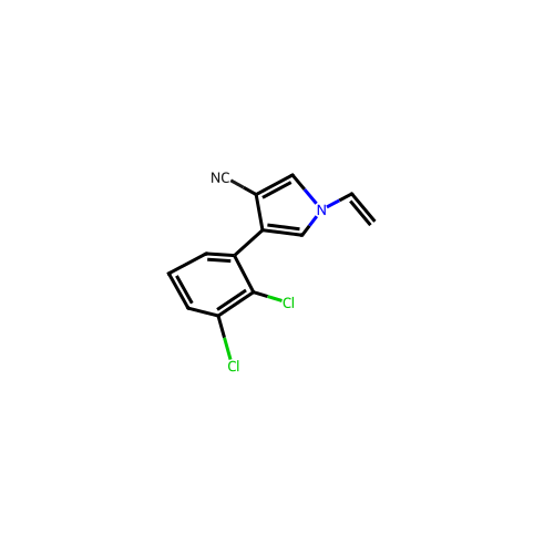 C=Cn1cc(C#N)c(-c2cccc(Cl)c2Cl)c1